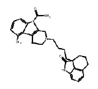 Cc1cccc2c1c1c(n2C(N)=O)CN(CCCCC23CCCc4cccc(c42)NC3=O)CC1